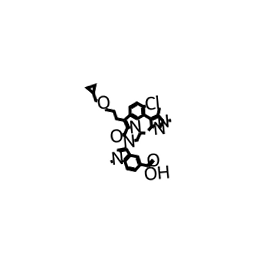 Cc1nn(C)c(C)c1-c1c(Cl)ccc2c(CCCOCC3CC3)c3n(c12)C(C)CN(c1cn(C)c2ccc(C(=O)O)cc12)C3=O